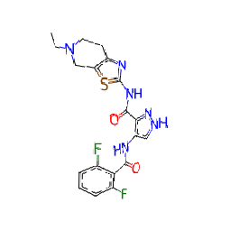 CCN1CCc2nc(NC(=O)c3n[nH]cc3NC(=O)c3c(F)cccc3F)sc2C1